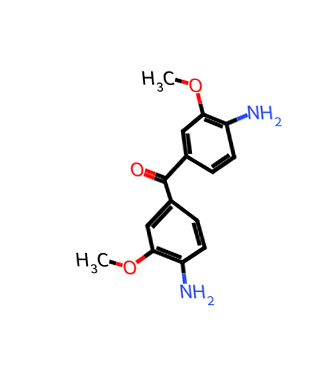 COc1cc(C(=O)c2ccc(N)c(OC)c2)ccc1N